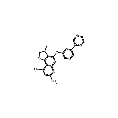 CC1COc2c1c(Oc1cccc(-c3cncnc3)c1)cc1nc(N)nc(N)c21